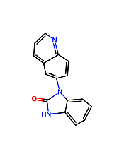 O=c1[nH]c2ccccc2n1-c1ccc2ncccc2c1